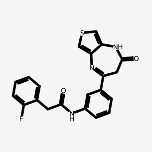 O=C(Cc1ccccc1F)Nc1cccc(C2=Nc3cscc3NC(=O)C2)c1